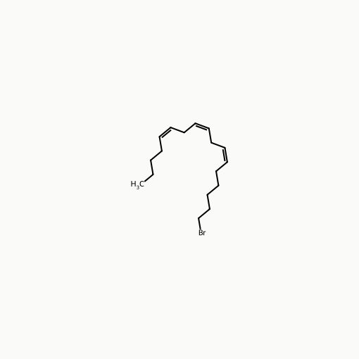 CCCC/C=C\C/C=C\C/C=C\CCCCCBr